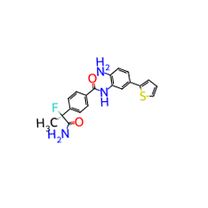 C[C@@](F)(C(N)=O)c1ccc(C(=O)Nc2cc(-c3cccs3)ccc2N)cc1